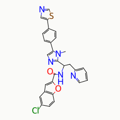 Cn1c(-c2ccc(-c3cncs3)cc2)cnc1C(Cc1ccccn1)NC(=O)c1cc2cc(Cl)ccc2o1